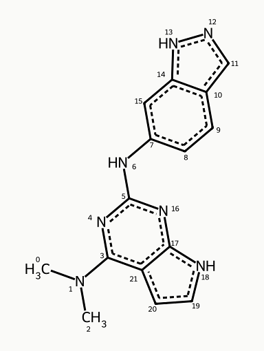 CN(C)c1nc(Nc2ccc3cn[nH]c3c2)nc2[nH]ccc12